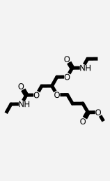 CCNC(=O)OCC(COC(=O)NCC)OCCCC(=O)OC